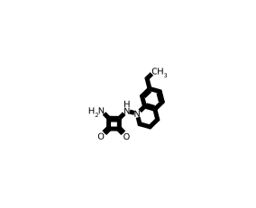 CCc1ccc2c(c1)N(Nc1c(N)c(=O)c1=O)CCC2